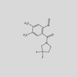 Cc1cc(N=O)c(C(=O)N2CCC(F)(F)C2)cc1C